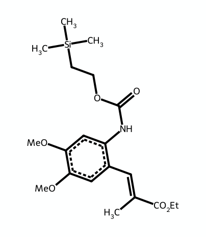 CCOC(=O)C(C)=Cc1cc(OC)c(OC)cc1NC(=O)OCC[Si](C)(C)C